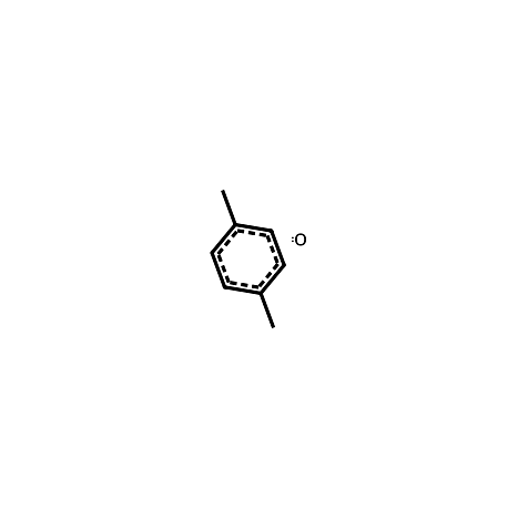 Cc1ccc(C)cc1.[O]